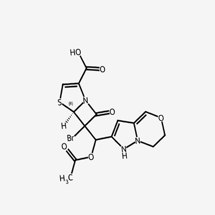 CC(=O)OC(C1=CC2=COCCN2N1)C1(Br)C(=O)N2C(C(=O)O)=CS[C@@H]21